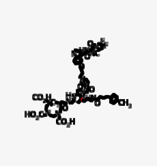 Cc1ccc(CCCC(=O)NCCCCC[C@H](CNC(=O)CN2CCN(CC(=O)O)CCN(CC(=O)O)CCN(CC(=O)O)CC2)SC2CC(=O)N(CC(=O)N3CCN(CCCOc4ccc5nccc(C(=O)NCC(=O)N6CC(F)(F)C[C@@H]6C#N)c5c4)CC3)C2=O)cc1